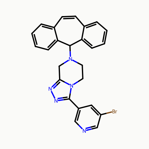 Brc1cncc(-c2nnc3n2CCN(C2c4ccccc4C=Cc4ccccc42)C3)c1